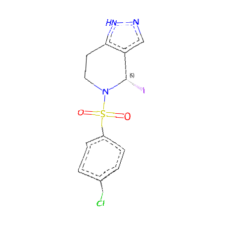 O=S(=O)(c1ccc(Cl)cc1)N1CCc2[nH]ncc2[C@@H]1I